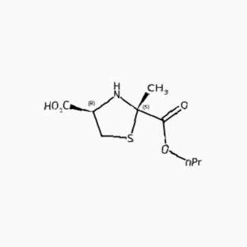 CCCOC(=O)[C@@]1(C)N[C@H](C(=O)O)CS1